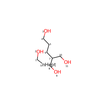 CCCCCCCCO.OCCCC(CO)CO